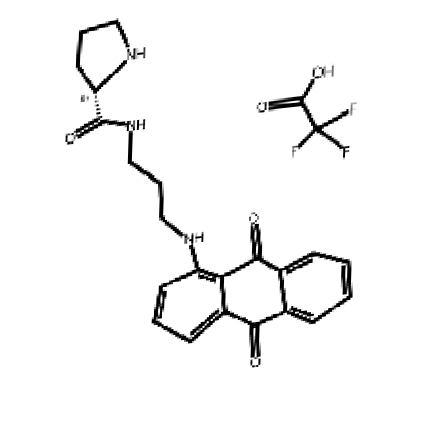 O=C(O)C(F)(F)F.O=C1c2ccccc2C(=O)c2c(NCCCNC(=O)[C@@H]3CCCN3)cccc21